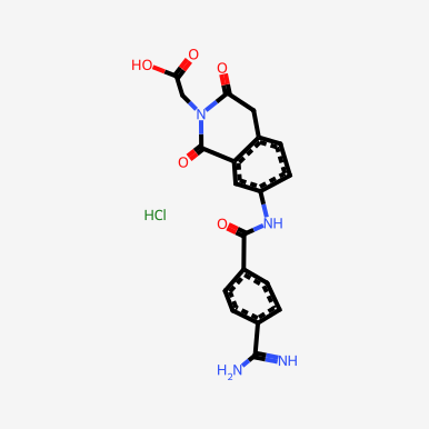 Cl.N=C(N)c1ccc(C(=O)Nc2ccc3c(c2)C(=O)N(CC(=O)O)C(=O)C3)cc1